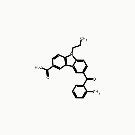 CCCn1c2ccc(C(C)=O)cc2c2cc(C(=O)c3ccccc3C)ccc21